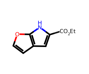 CCOC(=O)c1cc2ccoc2[nH]1